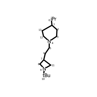 CC(C)C1CCN(CCC2CN(C(C)(C)C)C2)CC1